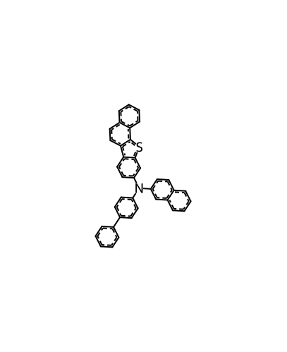 c1ccc(-c2ccc(N(c3ccc4ccccc4c3)c3ccc4c(c3)sc3c5ccccc5ccc43)cc2)cc1